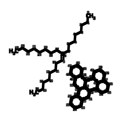 CCCCCCCC[SiH](CCCCCCCC)CCCCCCCC.c1ccc2c(c1)cc1c3cccc4cccc(c43)c3c4ccccc4cc2c13